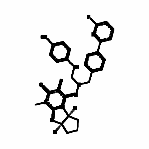 C=c1c(=O)n(C)c2n(/c1=N/N(CNc1ccc(N=O)cc1)Cc1ccc(-c3cccc(F)n3)cc1)[C@H]1CCC[C@H]1N=2